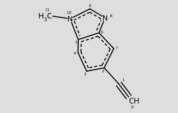 C#Cc1ccc2c(c1)ncn2C